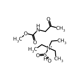 CC[N+](CC)(CC)[SH](=O)=O.COC(=O)NCC(C)=O